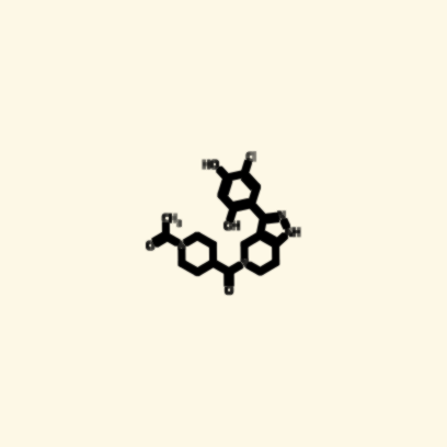 CC(=O)N1CCC(C(=O)N2CCc3[nH]nc(-c4cc(Cl)c(O)cc4O)c3C2)CC1